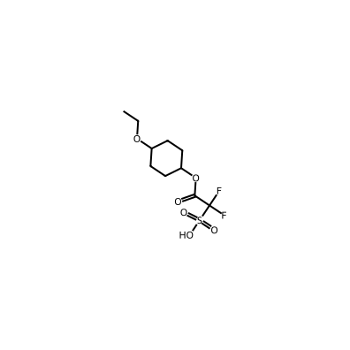 CCOC1CCC(OC(=O)C(F)(F)S(=O)(=O)O)CC1